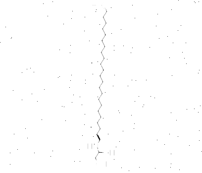 CCCCCCCCCCCCCCCCCCCCCCC=CNC(O)CC